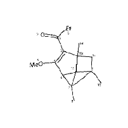 CCC(=O)C1=C(OC)C2C3(C)C4(C)CC1(C)C243